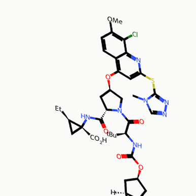 CC[C@@H]1C[C@]1(NC(=O)[C@@H]1C[C@@H](Oc2cc(Sc3nncn3C)nc3c(Cl)c(OC)ccc23)CN1C(=O)[C@@H](NC(=O)O[C@@H]1C[C@@H]2C[C@@H]2C1)C(C)(C)C)C(=O)O